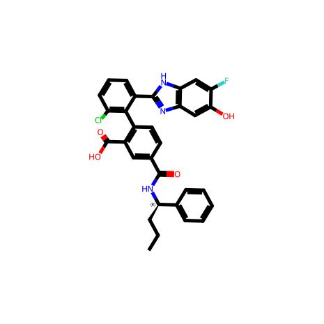 CCC[C@@H](NC(=O)c1ccc(-c2c(Cl)cccc2-c2nc3cc(O)c(F)cc3[nH]2)c(C(=O)O)c1)c1ccccc1